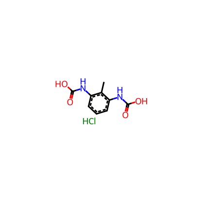 Cc1c(NC(=O)O)cccc1NC(=O)O.Cl